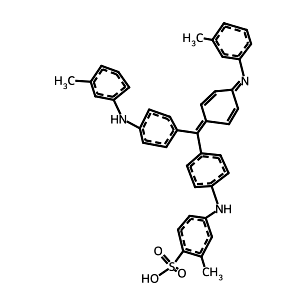 Cc1cccc(N=C2C=CC(=C(c3ccc(Nc4cccc(C)c4)cc3)c3ccc(Nc4ccc(S(=O)(=O)O)c(C)c4)cc3)C=C2)c1